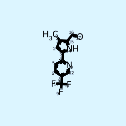 Cc1cc(-c2ccc(C(F)(F)F)cn2)[nH]c1C=O